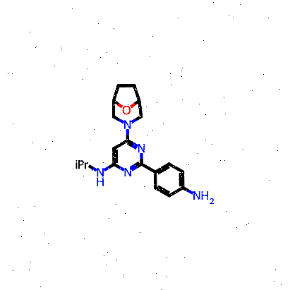 CC(C)Nc1cc(N2CC3CCC(C2)O3)nc(-c2ccc(N)cc2)n1